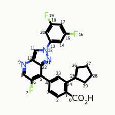 O=C(O)c1ccc(-c2c(F)cnc3cn(-c4cc(F)cc(F)c4)nc23)cc1C1CCCC1